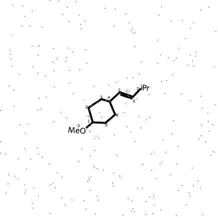 COC1CCC(/C=C/C(C)C)CC1